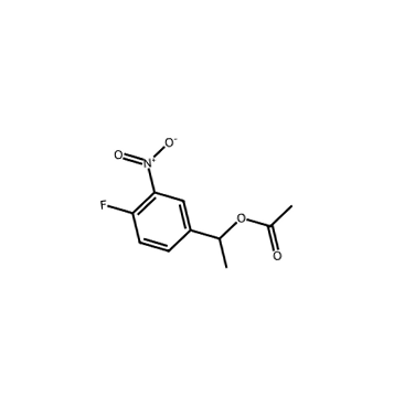 CC(=O)OC(C)c1ccc(F)c([N+](=O)[O-])c1